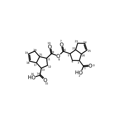 O=C(O)C1CC(C(=O)OC(=O)C2CC(C(=O)O)C3C=CCC23)C2CC=CC12